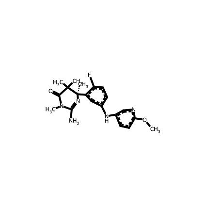 COc1ccc(Nc2ccc(F)c([C@@]3(C)N=C(N)N(C)C(=O)C3(C)C)c2)cn1